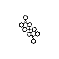 c1ccc(N(c2ccccc2)c2cccc3c2-c2ccccc2C32c3ccccc3-c3c(N(c4ccccc4)c4ccccc4)cccc32)cc1